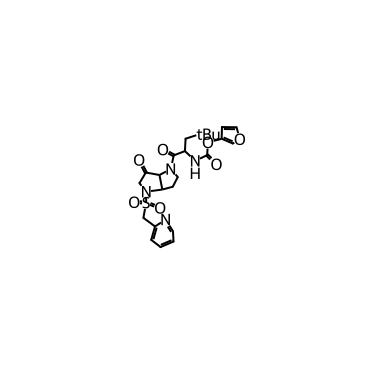 CC(C)(C)CC(NC(=O)Oc1ccoc1)C(=O)N1CCC2C1C(=O)CN2S(=O)(=O)Cc1ccccn1